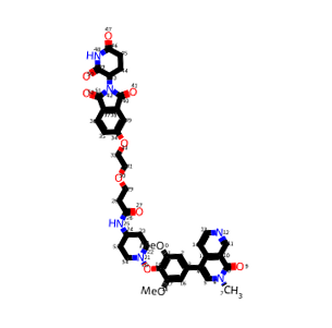 COc1cc(-c2cn(C)c(=O)c3cnccc23)cc(OC)c1ON1CCC(NC(=O)CCOCCOc2ccc3c(c2)C(=O)N(C2CCC(=O)NC2=O)C3=O)CC1